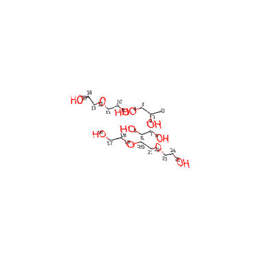 CC(O)CO.OCCO.OCCOCCO.OCCOCCOCCO